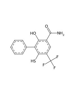 NC(=O)c1cc(C(F)(F)F)c(S)c(-c2ccccc2)c1O